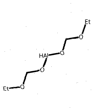 CCOC[O][AlH][O]COCC